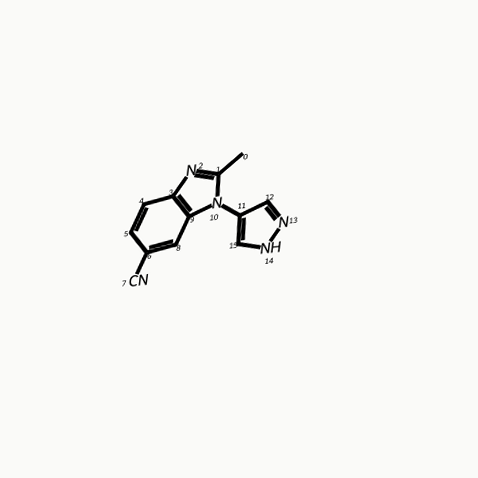 Cc1nc2ccc(C#N)cc2n1-c1cn[nH]c1